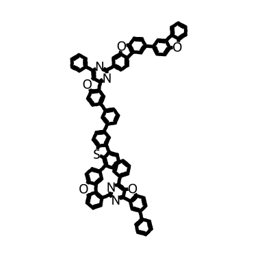 c1ccc(-c2ccc3oc4c(-c5ccccc5)nc(-c5cccc6oc7ccc(-c8cccc9c8sc8ccc(-c%10cccc(-c%11ccc%12oc%13c(-c%14ccccc%14)nc(-c%14ccc%15c(c%14)oc%14ccc(-c%16ccc%17oc%18ccccc%18c%17c%16)cc%14%15)nc%13c%12c%11)c%10)cc89)cc7c56)nc4c3c2)cc1